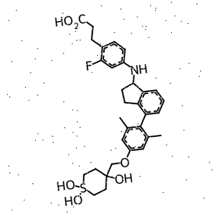 Cc1cc(OCC2(O)CCS(O)(O)CC2)cc(C)c1-c1cccc2c1CCC2Nc1ccc(CCC(=O)O)c(F)c1